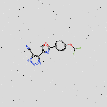 N#Cc1[nH]nnc1-c1coc(-c2ccc(OC(F)F)cc2)n1